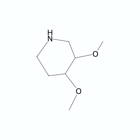 COC1CCNCC1OC